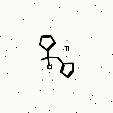 CC(Cl)(CC1=CC=CC1)C1=CC=CC1.[Ti]